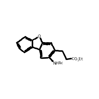 CCOC(=O)CCc1cc2oc3ccccc3c2cc1NC(C)=O